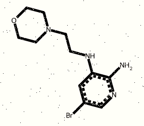 Nc1ncc(Br)cc1NCCN1CCOCC1